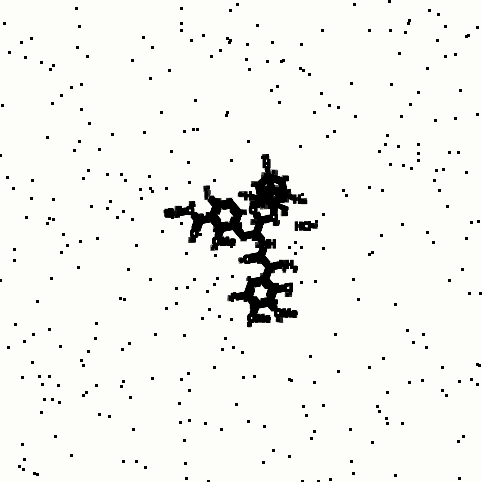 COc1c(F)cc(C(N)C(=O)NC(Cc2ccc(F)c(C(=O)OC(C)(C)C)c2OC)B2O[C@@H]3C[C@@H]4C[C@@H](C4(C)C)[C@]3(C)O2)c(Cl)c1OC.Cl